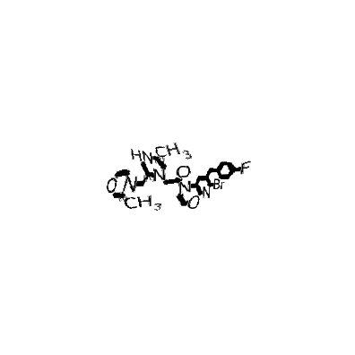 C[C@@H]1CN(CC(=O)N2CCOc3nc(Br)c(Cc4ccc(F)cc4)cc32)[C@@H](CN2CCOC[C@H]2C)CN1